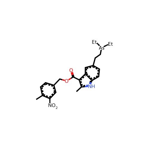 CC[As](CC)CCc1ccc2[nH]c(C)c(C(=O)OCc3ccc(C)c([N+](=O)[O-])c3)c2c1